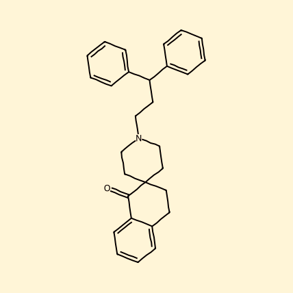 O=C1c2ccccc2CCC12CCN(CCC(c1ccccc1)c1ccccc1)CC2